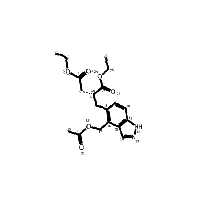 CCOC(=O)C[C@@H](Cc1ccc2[nH]ncc2c1COC(C)=O)C(=O)OCC